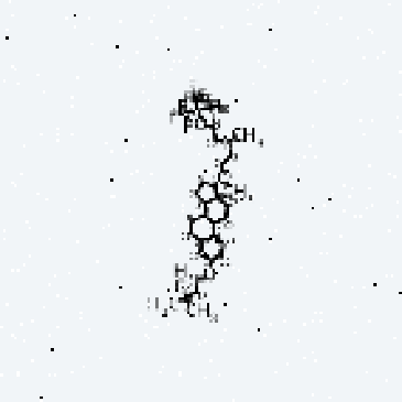 CN(CCOC1CCC2C3CCc4cc(OCCC(C)(C)C)ccc4C3CCC12C)CCOC(C(F)(F)F)(C(F)(F)F)C(F)(F)F